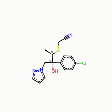 C[C@@H](SCC#N)[C@](O)(Cn1cccn1)c1ccc(Cl)cc1